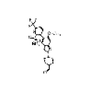 COc1cc2nn(C3CCC(C=O)CC3)cc2cc1-c1ccc(C(F)(F)F)nc1S(N)(=O)=O